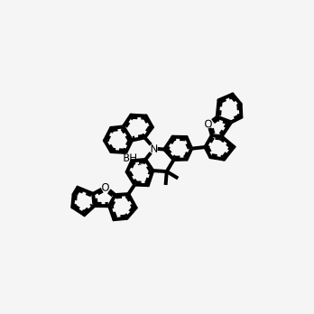 Bc1cccc2cccc(N3c4ccc(-c5cccc6c5oc5ccccc56)cc4C(C)(C)c4cc(-c5cccc6c5oc5ccccc56)ccc43)c12